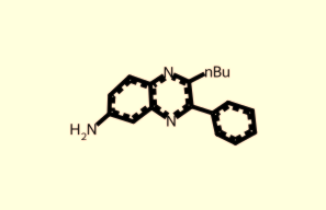 CCCCc1nc2ccc(N)cc2nc1-c1ccccc1